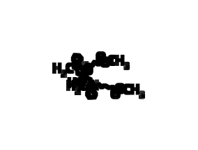 C=C1C(/C=C2\C(=O)C(/C=c3\c(=C)c4ccccc4n3CCCCCC(=O)OCC)=C2O)=[N+](CCCCCC(=O)OCC)c2ccccc21